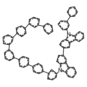 c1ccc(-c2cccc(-c3ccc(-c4cccc(-c5cccc(-c6ccc(-c7ccc(-c8cccc(-n9c%10ccccc%10c%10cc(-c%11ccc%12c(c%11)c%11ccccc%11n%12-c%11cccc(-c%12ccccc%12)c%11)ccc%109)c8)cc7)cc6)c5)c4)cc3)c2)cc1